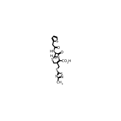 Cc1nsc(SCC2=C(C(=O)O)N3C(=O)C(NC(=O)Cc4cccs4)[C@@H]3SC2)n1